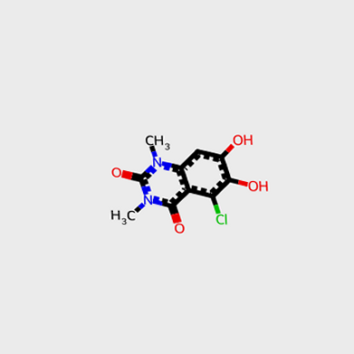 Cn1c(=O)c2c(Cl)c(O)c(O)cc2n(C)c1=O